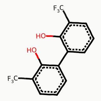 Oc1c(-c2cccc(C(F)(F)F)c2O)cccc1C(F)(F)F